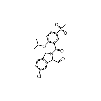 CC(C)Oc1ccc(S(C)(=O)=O)cc1C(=O)N1Cc2ccc(Cl)cc2C1C=O